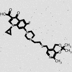 Cc1ncc(CSCCN2CCN(c3cc4c(cc3F)c(=O)c(C(=O)O)cn4C3CC3)CC2)c2c1OC(C)(C)OC2